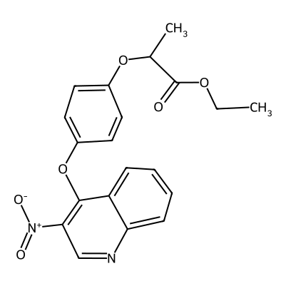 CCOC(=O)C(C)Oc1ccc(Oc2c([N+](=O)[O-])cnc3ccccc23)cc1